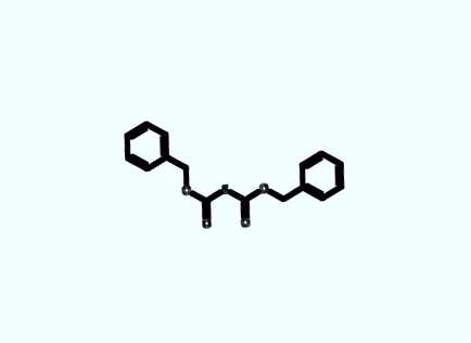 O=C(OCc1ccccc1)SC(=O)OCc1ccccc1